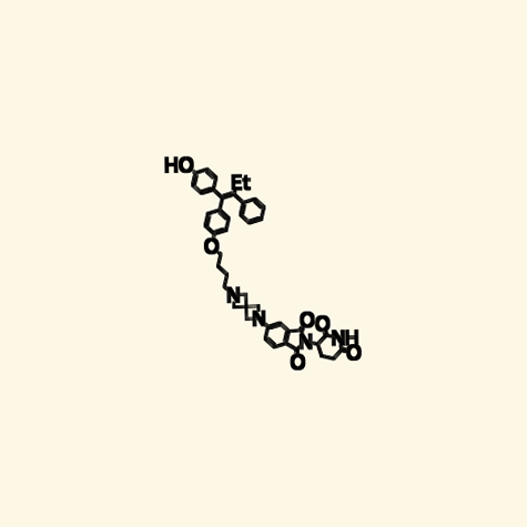 CCC(=C(c1ccc(O)cc1)c1ccc(OCCCCN2CC3(C2)CN(c2ccc4c(c2)C(=O)N(C2CCC(=O)NC2=O)C4=O)C3)cc1)c1ccccc1